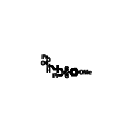 COc1ccc(S(=O)(=O)N(CC(C)C)CC(C)(C)CCNC(=O)OC(C)C)cc1